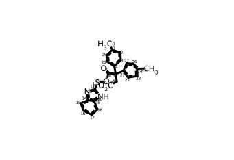 Cc1ccc(C(CC(=O)O)(C(=O)OSc2nc3ccccc3[nH]2)c2ccc(C)cc2)cc1